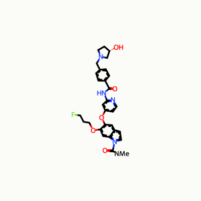 CNC(=O)n1ccc2cc(Oc3ccnc(NC(=O)c4ccc(CN5CC[C@H](O)C5)cc4)c3)c(OCCCF)cc21